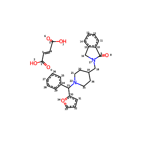 O=C(O)/C=C/C(=O)O.O=C1c2ccccc2CN1CC1CCN(C(c2ccccc2)c2ccco2)CC1